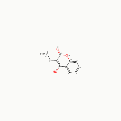 CCOC(=O)[CH]c1c(O)c2ccccc2oc1=O